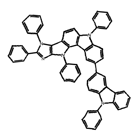 c1ccc(-c2nc3c(c4ccc5c(c6cc(-c7ccc8c(c7)c7ccccc7n8-c7ccccc7)ccc6n5-c5ccccc5)c4n3-c3ccccc3)n2-c2ccccc2)cc1